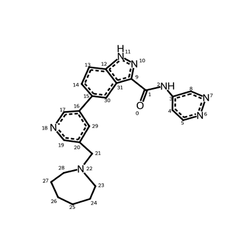 O=C(Nc1ccnnc1)c1n[nH]c2ccc(-c3cncc(CN4CCCCCC4)c3)cc12